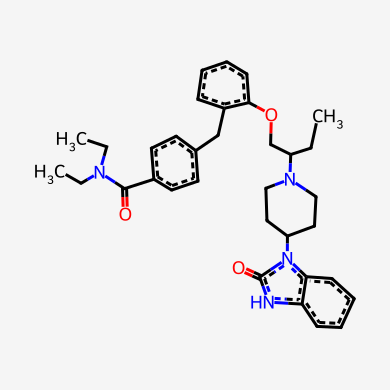 CCC(COc1ccccc1Cc1ccc(C(=O)N(CC)CC)cc1)N1CCC(n2c(=O)[nH]c3ccccc32)CC1